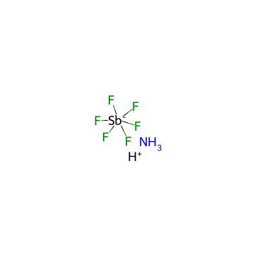 N.[F][Sb-]([F])([F])([F])([F])[F].[H+]